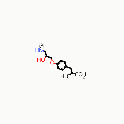 CC(C)NCC(O)COc1ccc(CC(C)C(=O)O)cc1